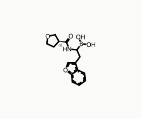 O=C(NC(Cc1coc2ccccc12)B(O)O)[C@H]1CCOC1